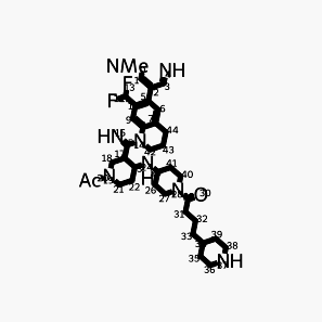 CN/C=C(\C=N)c1cc2c(cc1C(F)F)N(C(=N)C1CN(C(C)=O)CCC1NC1CCN(C(=O)CCCC3CCNCC3)CC1)CCC2